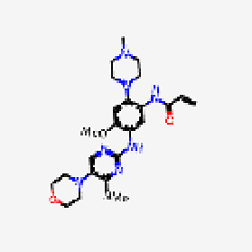 C=CC(=O)Nc1cc(Nc2ncc(N3CCOCC3)c(NC)n2)c(OC)cc1N1CCN(C)CC1